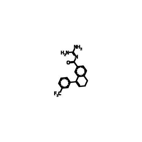 NC(N)=NC(=O)c1ccc2c(c1)C(c1cccc(C(F)(F)F)c1)=CCC2